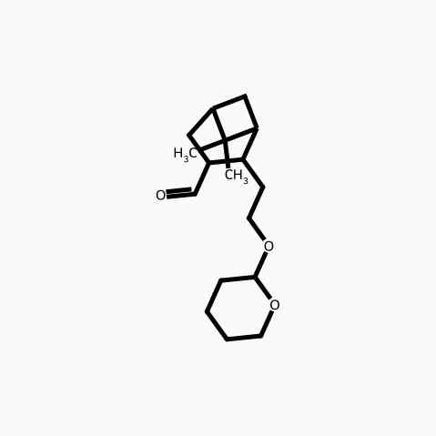 CC1(C)C2CC(C=O)C(CCOC3CCCCO3)C1C2